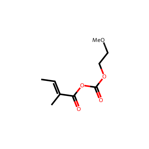 CC=C(C)C(=O)OC(=O)OCCOC